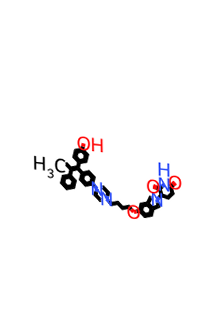 CCC(=C(c1ccc(O)cc1)c1ccc(N2CCN(CCCCOc3ccc4c(c3)CN(C3CCC(=O)NC3=O)C4)CC2)cc1)c1ccccc1